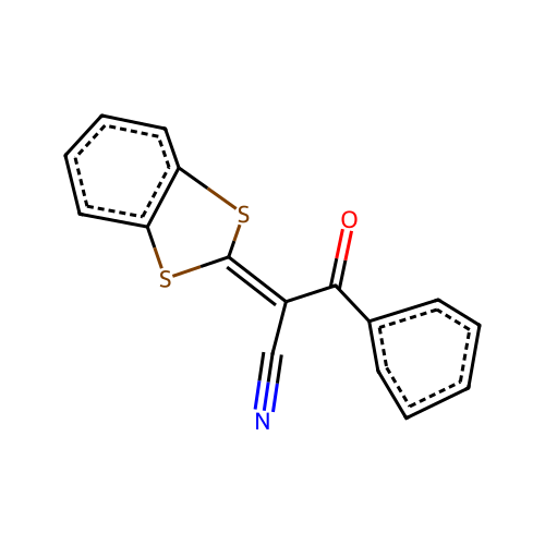 N#CC(C(=O)c1ccccc1)=C1Sc2ccccc2S1